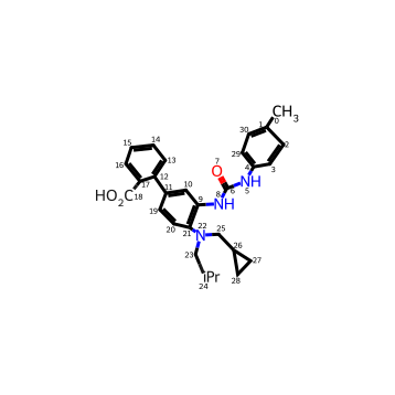 Cc1ccc(NC(=O)Nc2cc(-c3ccccc3C(=O)O)ccc2N(CC(C)C)CC2CC2)cc1